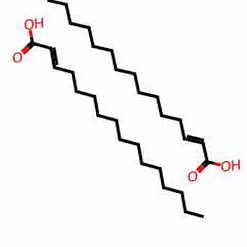 CCCCCCCCCCCCC=CC(=O)O.CCCCCCCCCCCCCC=CC(=O)O